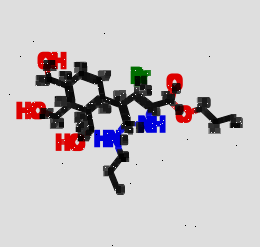 CCCNc1[nH]c(C(=O)OCCC)c(Br)c1-c1ccc(CO)c(CO)c1CO